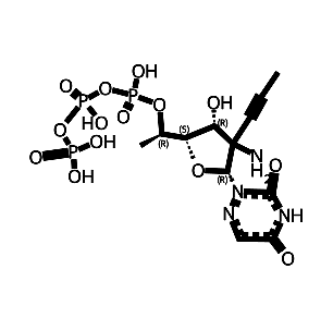 CC#CC1(N)[C@@H](O)[C@@H]([C@@H](C)OP(=O)(O)OP(=O)(O)OP(=O)(O)O)O[C@H]1n1ncc(=O)[nH]c1=O